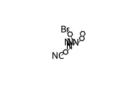 N#Cc1ccc(Cn2cnnc2CN(CCc2ccc(Br)cc2)Cc2ccc3ccccc3c2)cc1